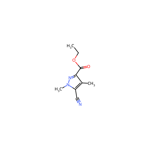 CCOC(=O)c1nn(C)c(C#N)c1C